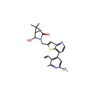 C=Cc1c(-c2ccnc3cc(CN4C(=O)C5C(C4O)C5(C)C)sc23)cc(C(F)(F)F)nc1C